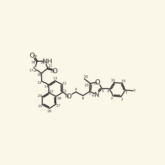 Cc1ccc(-c2nc(CCOc3ccc(CC4SC(=O)NC4=O)c4ccccc34)c(C)o2)cc1